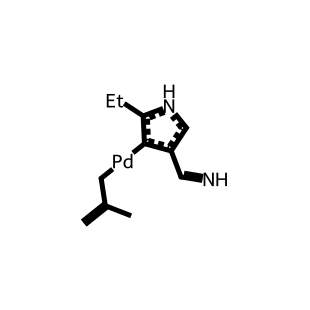 C=C(C)[CH2][Pd][c]1c(C=N)c[nH]c1CC